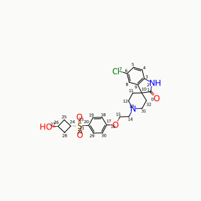 O=C1Nc2ccc(Cl)cc2C12CCN(CCOc1ccc(S(=O)(=O)[C@H]3C[C@H](O)C3)cc1)CC2